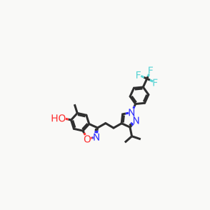 Cc1cc2c(CCc3cn(-c4ccc(C(F)(F)F)cc4)nc3C(C)C)noc2cc1O